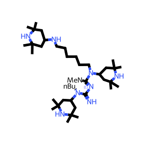 CCCCN(C(=N)/N=C(\NC)N(CCCCCCNC1CC(C)(C)NC(C)(C)C1)C1CC(C)(C)NC(C)(C)C1)C1CC(C)(C)NC(C)(C)C1